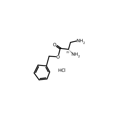 Cl.NC[C@H](N)C(=O)OCc1ccccc1